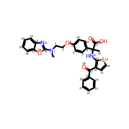 CN(CCOc1ccc(C(C)(Nc2sccc2C(=O)c2ccccc2)C(=O)O)cc1)c1nc2ccccc2o1